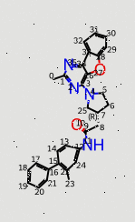 Cc1nc(N2CC[C@H](CC(=O)Nc3ccc(-c4ccccc4)c(C)c3)C2)c2oc3ccccc3c2n1